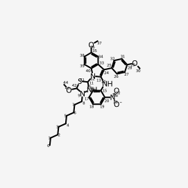 CCCCCCCCCN1NC(n2c(Nc3ccccc3[N+](=O)[O-])c(-c3ccc(OC)cc3)c3cc(OC)ccc32)SC1OC